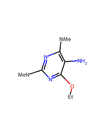 CCOc1nc(NC)nc(NC)c1N